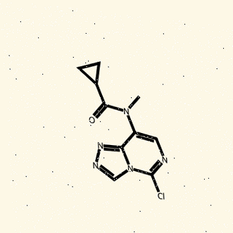 CN(C(=O)C1CC1)c1cnc(Cl)n2cnnc12